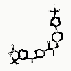 CN(CN1CCN(c2ccc(C(F)(F)F)cc2)CC1)C(=O)N1CCC(Nc2ccc([N+](=O)[O-])c(C(F)(F)F)c2)CC1